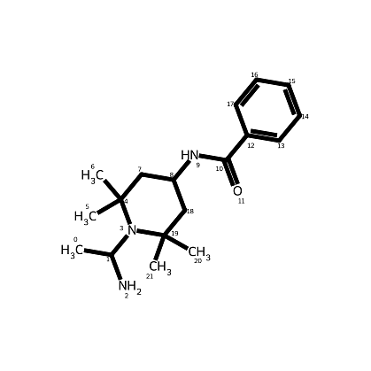 CC(N)N1C(C)(C)CC(NC(=O)c2ccccc2)CC1(C)C